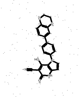 N#Cc1c(O)c2c(ccn2-c2ccc(-c3ccc4c(c3)OCCO4)cc2)[nH]c1=O